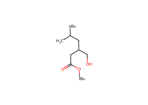 CCCCC(C)CC(CO)CC(=O)OC(C)(C)C